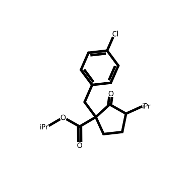 CC(C)OC(=O)C1(Cc2ccc(Cl)cc2)CCC(C(C)C)C1=O